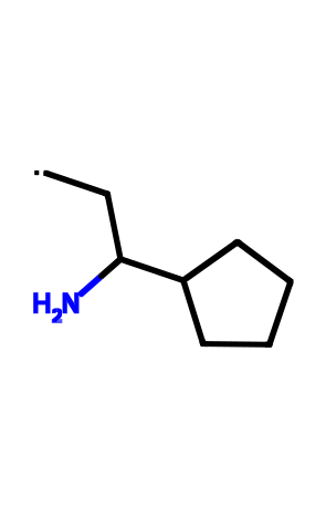 [CH2]CC(N)C1CCCC1